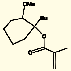 C=C(C)C(=O)OC1(C(C)CC)CCCCC1OC